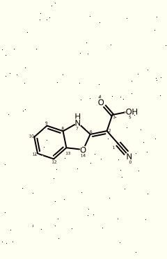 N#C/C(C(=O)O)=C1/Nc2ccccc2O1